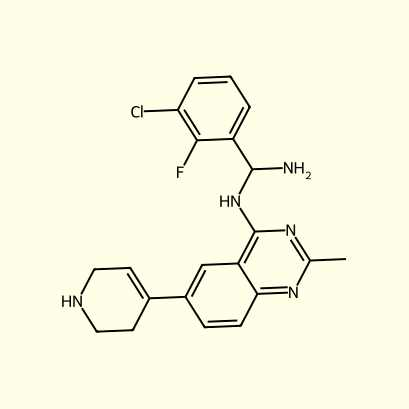 Cc1nc(NC(N)c2cccc(Cl)c2F)c2cc(C3=CCNCC3)ccc2n1